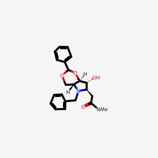 CNC(=O)C[C@@H]1[C@@H](O)[C@@H]2OC(c3ccccc3)OC[C@H]2N1Cc1ccccc1